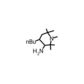 CCCCC1CC(C)(C)N(C)C(C)(C)C1N